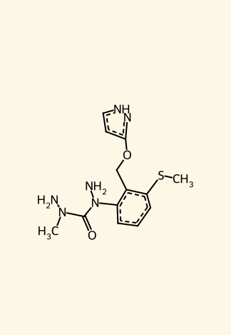 CSc1cccc(N(N)C(=O)N(C)N)c1COc1cc[nH]n1